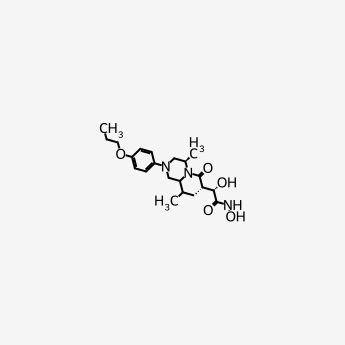 CCCOc1ccc(N2CC3C(C)C[C@@H]([C@H](O)C(=O)NO)C(=O)N3[C@H](C)C2)cc1